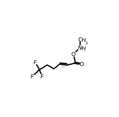 CNOC(=O)/C=C/CCC(F)(F)F